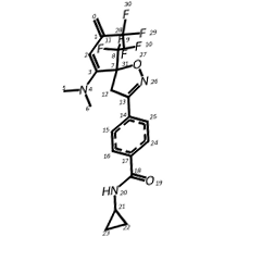 C=C(/C=C(/N(C)C)C1(C(F)(F)F)CC(c2ccc(C(=O)NC3CC3)cc2)=NO1)C(F)(F)F